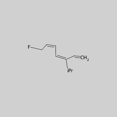 C=C/C(=C\C=C/CF)C(C)C